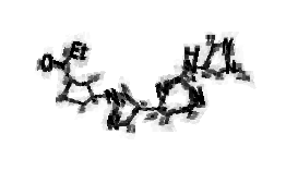 CCC(=O)C1CCC(n2cc(-c3ccnc(Nc4cnn(C)c4)n3)cn2)C1